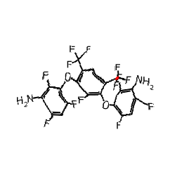 Nc1c(F)cc(F)c(Oc2c(C(F)(F)F)cc(C(F)(F)F)c(Oc3c(F)cc(F)c(N)c3F)c2F)c1F